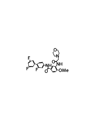 COc1ccc(C(=O)Nc2ccc(-c3cc(F)cc(F)c3)c(F)c2)cc1NC(=O)CN1CCOCC1